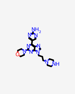 Nc1ncc(-c2nc(N3CCOCC3)nc3c2ncn3CCCN2CCNCC2)cn1